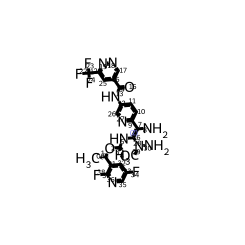 C[C@@H](OC(=O)N/C(=C(/N)c1ccc(NC(=O)c2cnnc(C(F)(F)F)c2)cn1)N(C)N)c1cc(F)cnc1F